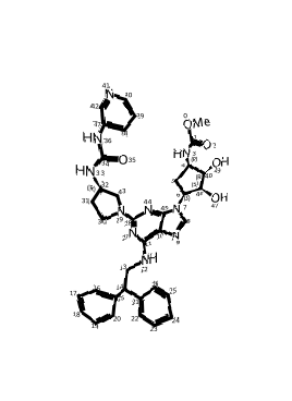 COC(=O)N[C@@H]1C[C@H](n2cnc3c(NCC(c4ccccc4)c4ccccc4)nc(N4CC[C@@H](NC(=O)Nc5cccnc5)C4)nc32)[C@H](O)[C@@H]1O